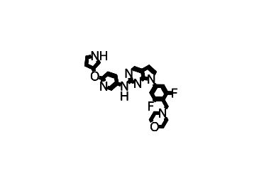 Fc1cc(-n2ccc3cnc(Nc4ccc(OC5CCNC5)nc4)nc32)cc(F)c1CN1CCOCC1